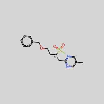 Cc1cnc(C[C@H](CCOCc2ccccc2)S(=O)(=O)F)nc1